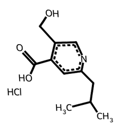 CC(C)Cc1cc(C(=O)O)c(CO)cn1.Cl